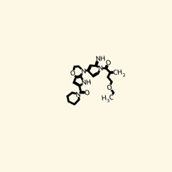 C=C(CCOCC)C(=O)n1ccc(N2CCOc3cc(C(=O)N4CCCCC4)[nH]c32)cc1=N